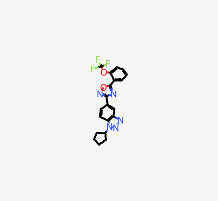 FC(F)(F)Oc1ccccc1-c1nc(-c2ccc3c(c2)nnn3C2CCCC2)no1